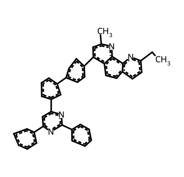 CCc1ccc2ccc3c(-c4ccc(-c5cccc(-c6cc(-c7ccccc7)nc(-c7ccccc7)n6)c5)cc4)cc(C)nc3c2n1